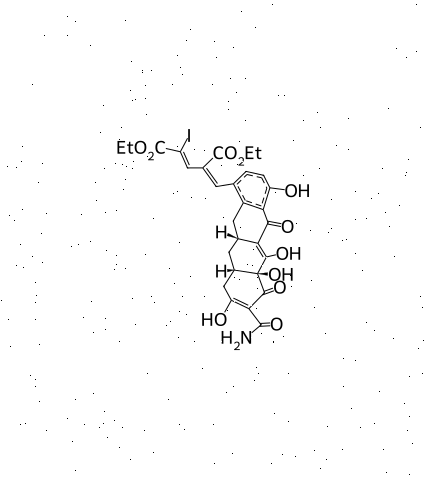 CCOC(=O)/C(I)=C/C(=C/c1ccc(O)c2c1C[C@H]1C[C@H]3CC(O)=C(C(N)=O)C(=O)[C@@]3(O)C(O)=C1C2=O)C(=O)OCC